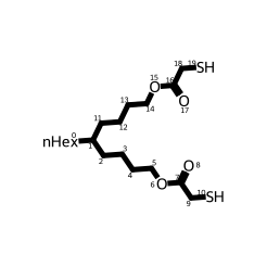 CCCCCCC(CCCCOC(=O)CS)CCCCOC(=O)CS